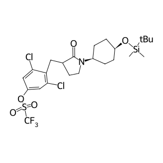 CC(C)(C)[Si](C)(C)O[C@H]1CC[C@@H](N2CCC(Cc3c(Cl)cc(OS(=O)(=O)C(F)(F)F)cc3Cl)C2=O)CC1